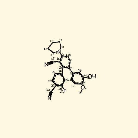 COc1ccc(-c2cnc(N3CCCCC3)c(C#N)c2-c2ccc(C#N)c(F)c2)cc1O